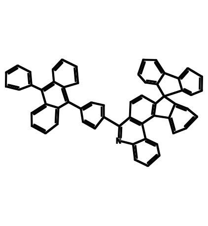 c1ccc(-c2c3ccccc3c(-c3ccc(-c4nc5ccccc5c5c6c(ccc45)C4(c5ccccc5-c5ccccc54)c4ccccc4-6)cc3)c3ccccc23)cc1